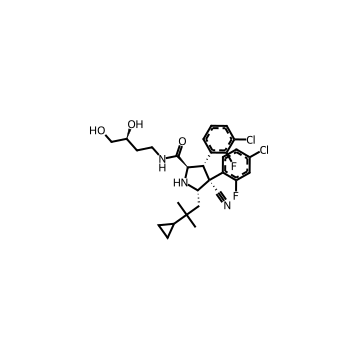 CC(C)(C[C@@H]1N[C@@H](C(=O)NCC[C@H](O)CO)[C@H](c2cccc(Cl)c2F)[C@@]1(C#N)c1ccc(Cl)cc1F)C1CC1